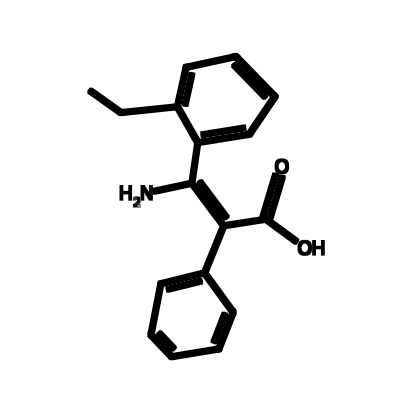 CCc1ccccc1C(N)=C(C(=O)O)c1ccccc1